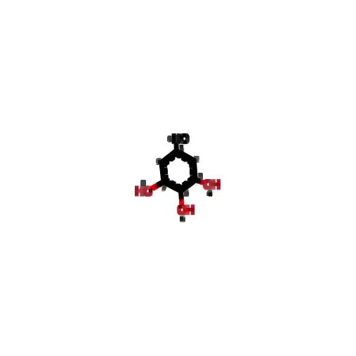 O=Nc1cc(O)c(O)c(O)c1